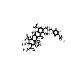 CN(C)c1cc(CNCc2ccc(OC(F)(F)F)cc2)c(O)c2c1C[C@H]1C[C@H]3C(N(C)C)C(O)=C(C(N)=O)C(=O)[C@@]3(O)C(O)=C1C2=O